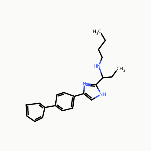 CCCCNC(CC)c1nc(-c2ccc(-c3ccccc3)cc2)c[nH]1